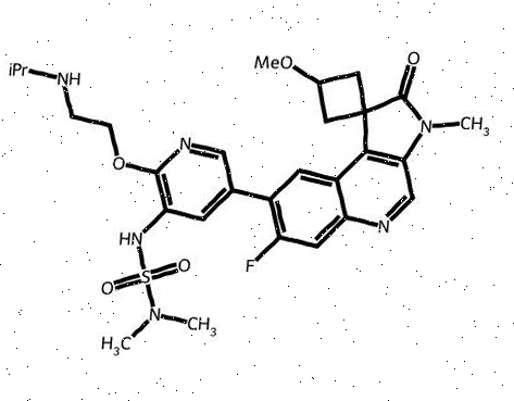 COC1CC2(C1)C(=O)N(C)c1cnc3cc(F)c(-c4cnc(OCCNC(C)C)c(NS(=O)(=O)N(C)C)c4)cc3c12